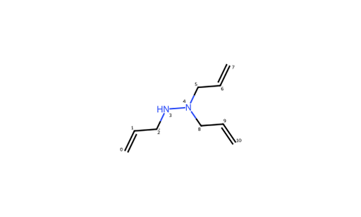 C=C[CH]NN(CC=C)CC=C